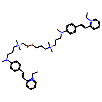 CC[n+]1ccccc1/C=C/c1ccc(N(C)CCC[N+](C)(C)CCCSSC[N+](C)(C)CCCN(C)c2ccc(/C=C/c3cccc[n+]3CC)cc2)cc1